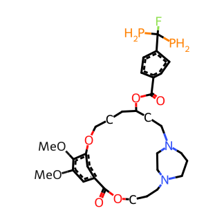 COc1cc2cc(c1OC)OCCCC(OC(=O)c1ccc(C(F)(P)P)cc1)CCN1CCCN(CCCOC2=O)CC1